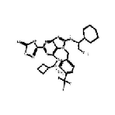 CCC(Nc1nc2nc(-c3noc(=O)[nH]3)nc(N[C@H](C)C3CCC3)c2n1Cc1ccc(C(F)(F)F)cc1)C1CCCCC1